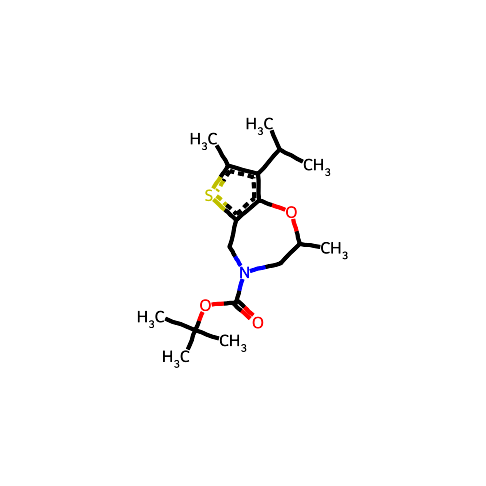 Cc1sc2c(c1C(C)C)OC(C)CN(C(=O)OC(C)(C)C)C2